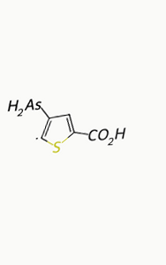 O=C(O)c1cc([AsH2])[c]s1